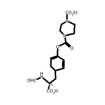 CCOC(=O)N1CCN(C(=O)OC2=CCC(C[C@H](NC=O)C(=O)O)C=C2)CC1